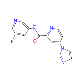 O=C(Nc1cncc(F)c1)c1cc(-n2ccnc2)ccn1